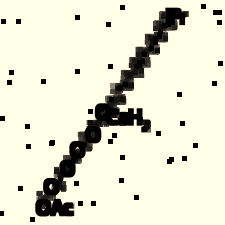 CC(=O)OCCOCCOCCOCCOCCOCCCCCCCCCCCCCCCC(C)C.[CaH2]